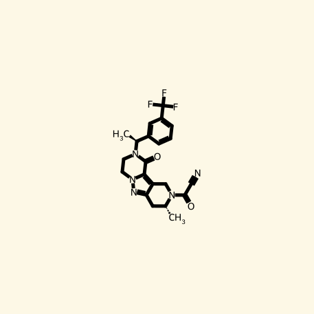 C[C@@H]1Cc2nn3c(c2CN1C(=O)C#N)C(=O)N([C@@H](C)c1cccc(C(F)(F)F)c1)CC3